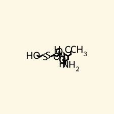 CC(C)CC(CNC(=O)OCCSSCCO)CC(N)=O